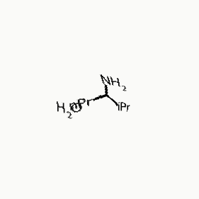 CCCC(N)C(C)C.O